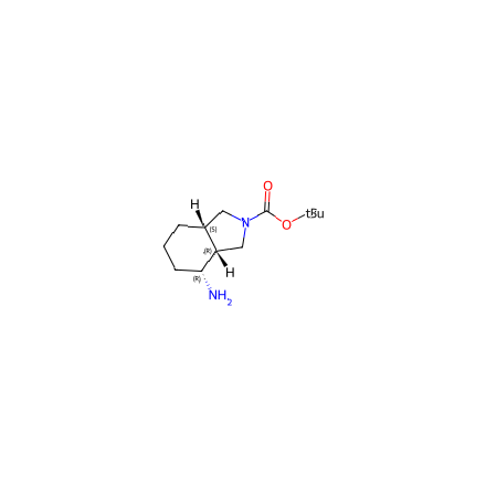 CC(C)(C)OC(=O)N1C[C@H]2CCC[C@@H](N)[C@H]2C1